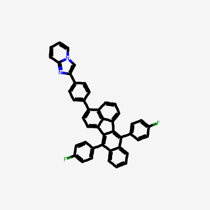 Fc1ccc(-c2c3c(c(-c4ccc(F)cc4)c4ccccc24)-c2ccc(-c4ccc(-c5cn6ccccc6n5)cc4)c4cccc-3c24)cc1